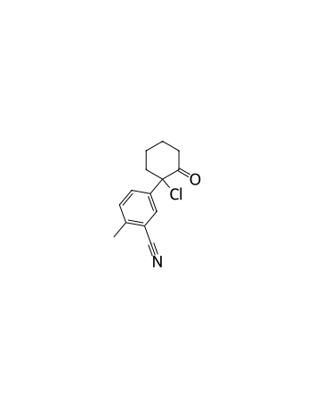 Cc1ccc(C2(Cl)CCCCC2=O)cc1C#N